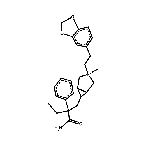 CCC(CC1C2C[N+](C)(CCc3ccc4c(c3)OCO4)CC12)(C(N)=O)c1ccccc1